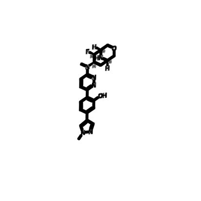 CN(c1ccc(-c2ccc(-c3cnn(C)c3)cc2O)nn1)[C@@H]1C[C@H]2COC[C@H](N2)[C@@H]1F